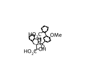 COc1ccc(C(=O)N[C@H](Cc2ccccc2Cl)[C@@H](O)C(=O)O)cc1-c1ccccc1C(=O)O